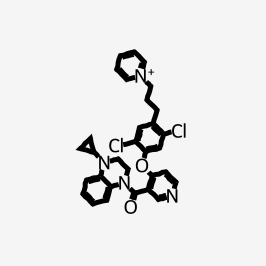 O=C(c1cnccc1Oc1cc(Cl)c(CCC[n+]2ccccc2)cc1Cl)N1CCN(C2CC2)c2ccccc21